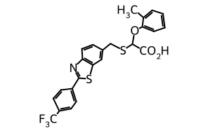 Cc1ccccc1OC(SCc1ccc2nc(-c3ccc(C(F)(F)F)cc3)sc2c1)C(=O)O